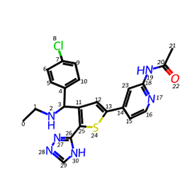 CCNC(c1ccc(Cl)cc1)c1cc(-c2ccnc(NC(C)=O)c2)sc1-c1nnc[nH]1